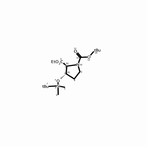 CCOC(=O)[C@@H]1[C@@H](O[Si](C)(C)C(C)(C)C)CCN1C(=O)OC(C)(C)C